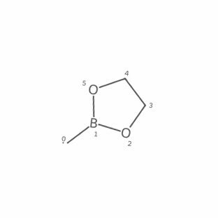 [CH2]B1OCCO1